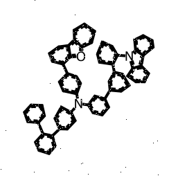 c1ccc(-c2ccccc2-c2ccc(N(c3ccc(-c4cccc5c4oc4ccccc45)cc3)c3cccc(-c4cccc(-c5ccccc5-n5c6ccccc6c6ccccc65)c4)c3)cc2)cc1